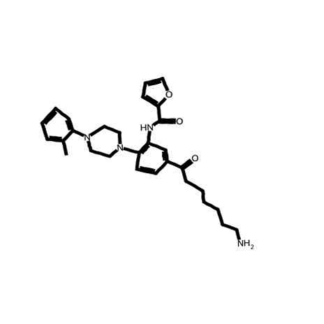 Cc1ccccc1N1CCN(c2ccc(C(=O)CCCCCCN)cc2NC(=O)c2ccco2)CC1